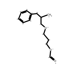 CC(COCCCOC=O)Cc1ccccc1